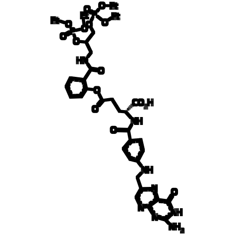 CCOP(=O)(OCC)OCC(CNC(=O)c1ccccc1OC(=O)CC[C@@H](NC(=O)c1ccc(NCc2cnc3nc(N)[nH]c(=O)c3n2)cc1)C(=O)O)OP(=O)(OCC)OCC